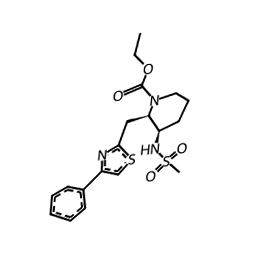 CCOC(=O)N1CCC[C@@H](NS(C)(=O)=O)[C@H]1Cc1nc(-c2ccccc2)cs1